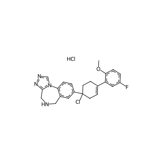 COc1ccc(F)cc1C1=CCC(Cl)(c2ccc3c(c2)CNCc2nncn2-3)CC1.Cl